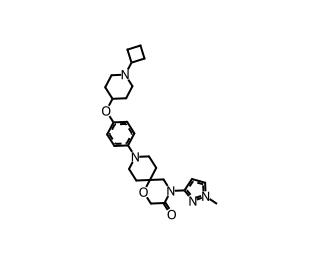 Cn1ccc(N2CC3(CCN(c4ccc(OC5CCN(C6CCC6)CC5)cc4)CC3)OCC2=O)n1